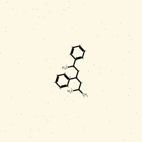 CC(C)CC(CC(C)c1cc[c]cc1)c1ccccc1